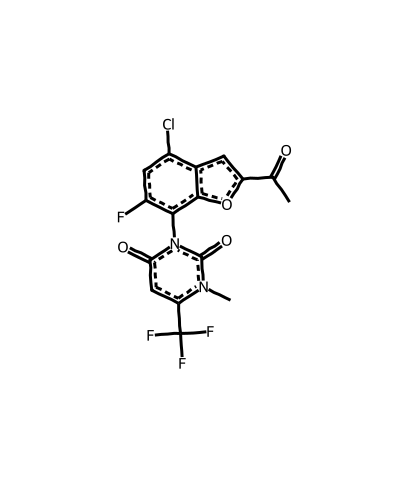 CC(=O)c1cc2c(Cl)cc(F)c(-n3c(=O)cc(C(F)(F)F)n(C)c3=O)c2o1